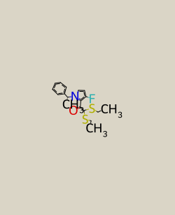 CCSC(SCC)C(=O)c1c(F)ccn1[C@H](C)c1ccccc1